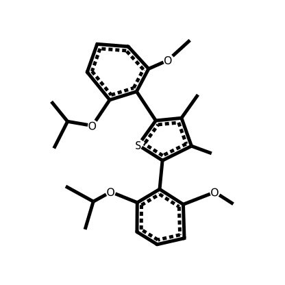 COc1cccc(OC(C)C)c1-c1sc(-c2c(OC)cccc2OC(C)C)c(C)c1C